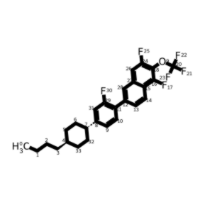 CCCC[C@H]1CC[C@H](c2ccc(-c3ccc4c(F)c(OC(F)(F)F)c(F)cc4c3)c(F)c2)CC1